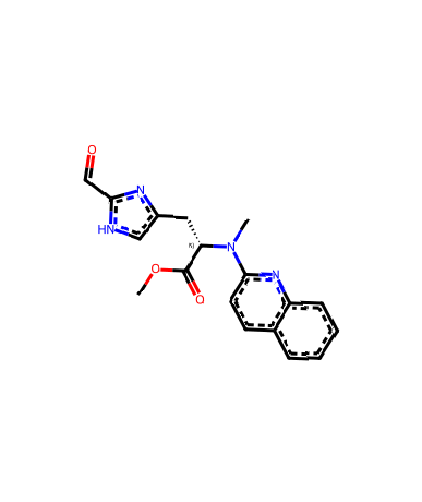 COC(=O)[C@H](Cc1c[nH]c(C=O)n1)N(C)c1ccc2ccccc2n1